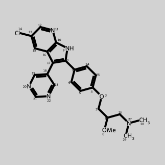 COC(COc1ccc(-c2[nH]c3ncc(Cl)cc3c2-c2cncnc2)cc1)CN(C)C